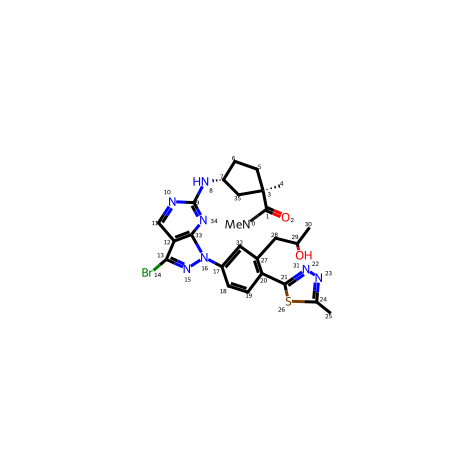 CNC(=O)[C@]1(C)CC[C@@H](Nc2ncc3c(Br)nn(-c4ccc(-c5nnc(C)s5)c(CC(C)O)c4)c3n2)C1